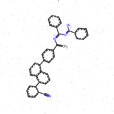 C=C(/N=C(\N=C(/N)c1ccccc1)c1ccccc1)c1ccc(-c2cccc3c(-c4ccccc4C#N)cccc23)cc1